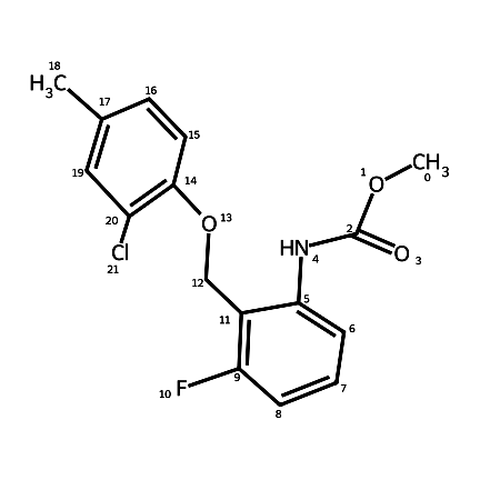 COC(=O)Nc1cccc(F)c1COc1ccc(C)cc1Cl